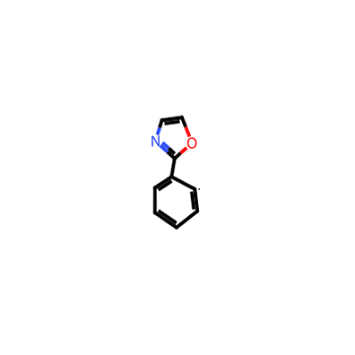 [c]1ccccc1-c1ncco1